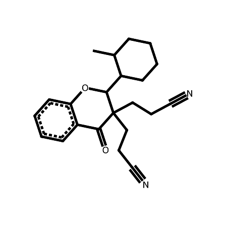 CC1CCCCC1C1Oc2ccccc2C(=O)C1(CCC#N)CCC#N